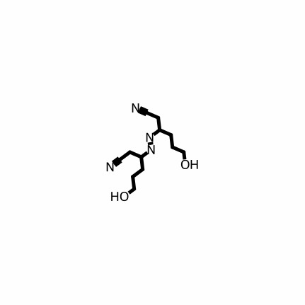 N#CCC(CCCO)N=NC(CC#N)CCCO